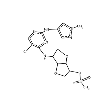 Cn1cc(Nc2ncc(Cl)c(NC3COC4C(OS(C)(=O)=O)COC34)n2)cn1